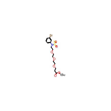 CC(C)(C)OC(=O)CCOCCOCCOCCN(c1cccc(Br)c1)[SH](=O)=O